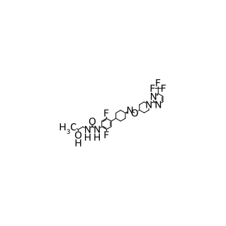 CC(O)CNC(=O)Nc1cc(F)c(C2CCC(=NOC3CCN(c4nccc(C(F)(F)F)n4)CC3)CC2)cc1F